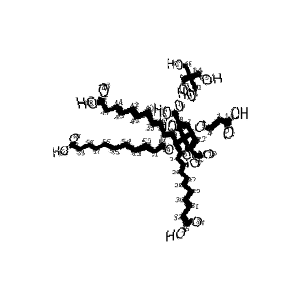 O=C(O)C=COC(C=CC(=O)O)(C=CC(=O)O)C(CO)(CO)C(CCCCCCCCCCC(=O)O)(CCCCCCCCCCC(=O)O)OCCCCCCCCCCC(=O)O.OCC(CO)(CO)CO